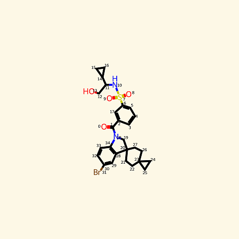 O=C(c1cccc(S(=O)(=O)NC(CO)C2CC2)c1)N1CC2(CCC3(CC3)CC2)c2cc(Br)ccc21